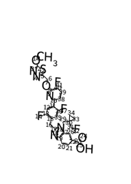 COc1nnc(COc2nc(-c3cc(F)c(Cc4nc5ccc(C(=O)O)cc5n4CC4(CF)CC4)cc3F)ccc2F)s1